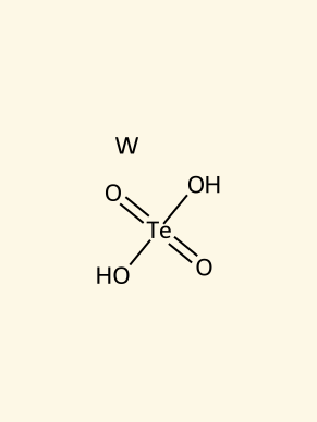 O=[Te](=O)(O)O.[W]